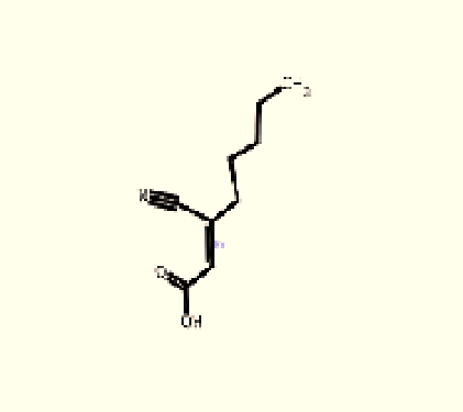 CCCCC/C(C#N)=C/C(=O)O